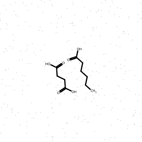 CCCCCC(=O)O.O=C(O)CCC(=O)O